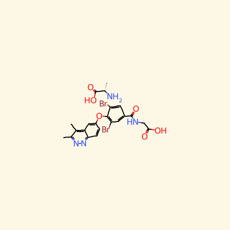 C[C@H](N)C(=O)O.Cc1nnc2ccc(Oc3c(Br)cc(C(=O)NCC(=O)O)cc3Br)cc2c1C